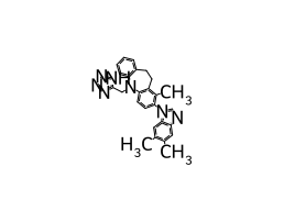 Cc1cc2ncn(-c3ccc4c(c3C)CCc3ccccc3N4Cc3nnn[nH]3)c2cc1C